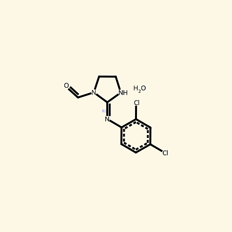 O.O=CN1CCN/C1=N\c1ccc(Cl)cc1Cl